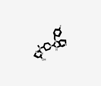 CN(c1nccc(O)n1)C1CCN(C2Nc3cnccc3N2Cc2ccc(F)cc2)CC1